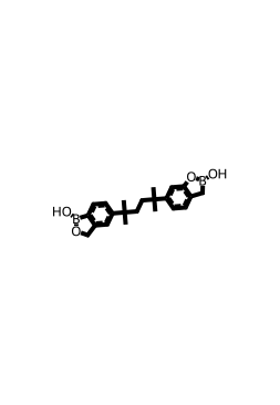 CC(C)(CCC(C)(C)c1ccc2c(c1)OB(O)C2)c1ccc2c(c1)COB2O